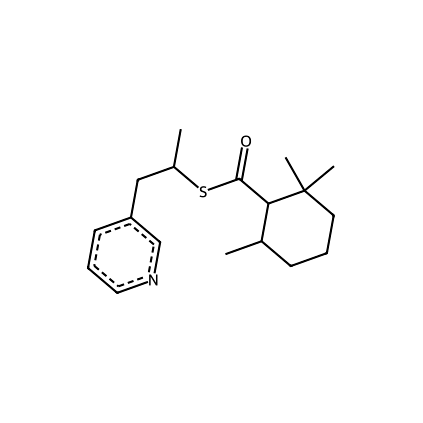 CC(Cc1cccnc1)SC(=O)C1C(C)CCCC1(C)C